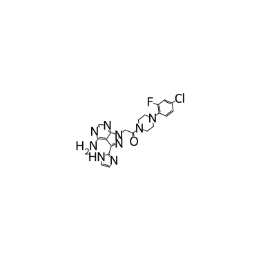 Nc1ncnc2c1c(-c1ncc[nH]1)nn2CC(=O)N1CCN(c2ccc(Cl)cc2F)CC1